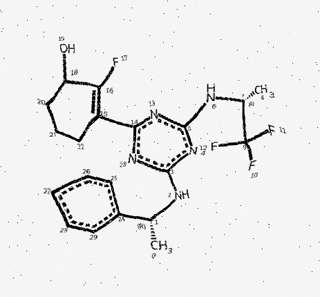 C[C@@H](Nc1nc(N[C@H](C)C(F)(F)F)nc(C2=C(F)C(O)CCC2)n1)c1ccccc1